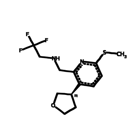 CSc1ccc([C@H]2CCOC2)c(CNCC(F)(F)F)n1